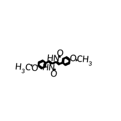 CCOc1ccc(/C=C(NC=O)/C(=C/c2ccc(OCC)cc2)NC=O)cc1